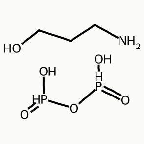 NCCCO.O=[PH](O)O[PH](=O)O